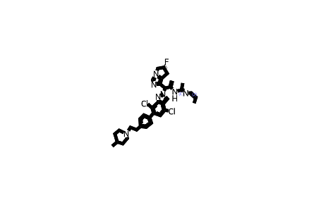 C=C(N/C(C)=N/C=C\C)C(c1ncn2c1C[C@@H](F)C2)n1cc2c(Cl)cc(-c3ccc(CCN4CCC(C)CC4)cc3)c(Cl)c2n1